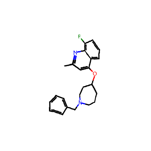 Cc1cc(OC2CCCN(Cc3ccccc3)CC2)c2cccc(F)c2n1